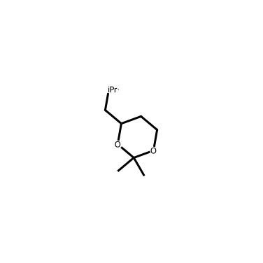 C[C](C)CC1CCOC(C)(C)O1